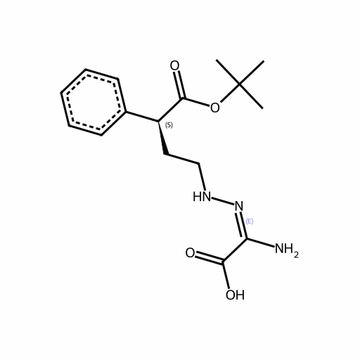 CC(C)(C)OC(=O)[C@@H](CCN/N=C(/N)C(=O)O)c1ccccc1